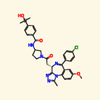 COc1ccc2c(c1)C(c1ccc(Cl)cc1)=N[C@@H](CC(=O)N1CCC(NC(=O)c3ccc([Si](C)(C)O)cc3)C1)c1nnc(C)n1-2